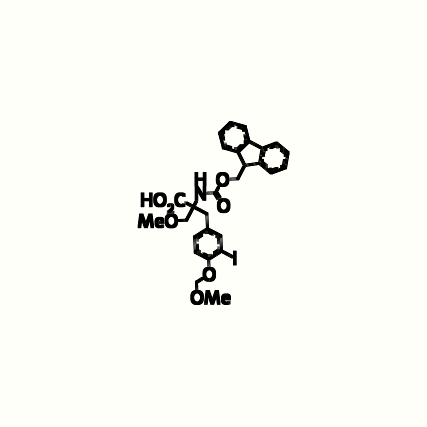 COCOc1ccc(CC(COC)(NC(=O)OCC2c3ccccc3-c3ccccc32)C(=O)O)cc1I